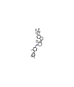 Cc1cn(-c2ccc(/C=C3\CCCN([C@H]4CCc5cc(OC(F)(F)F)ccc54)C3=O)cc2C)cn1